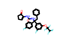 O=C(NC1=CCCC1=O)NC(Cc1ccccc1)(c1ccc(F)cc1)c1cc(F)cc(OC(F)(F)C(F)F)c1